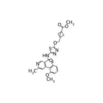 COC(=O)C12CC(COc3nnc(NC(=O)c4cnc(C)cc4-c4c(F)cccc4OC)s3)(C1)C2